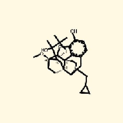 CO[C@]12CC[C@@]3(C[C@@H]1C(C)(O)C(C)(C)C)C1Cc4ccc(O)c5c4[C@@]3(CCN1CC1CC1)C2O5